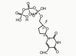 O=Cc1cn([C@H]2CC[C@@](F)(COP(=O)(O)OP(=O)(O)OP(=O)(O)O)O2)c(=O)[nH]c1=O